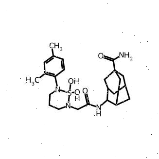 Cc1ccc(N2CCCN(CC(=O)NC3C4CC5CC3CC(C(N)=O)(C5)C4)S2(O)O)c(C)c1